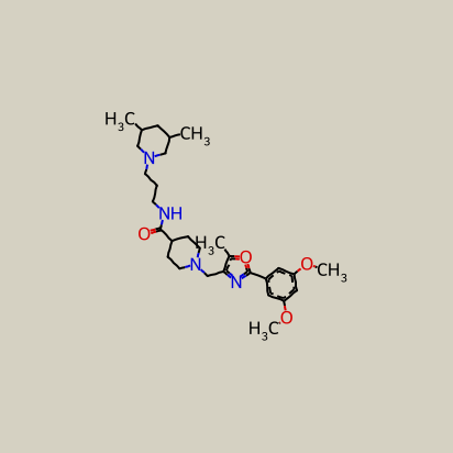 COc1cc(OC)cc(-c2nc(CN3CCC(C(=O)NCCCN4CC(C)CC(C)C4)CC3)c(C)o2)c1